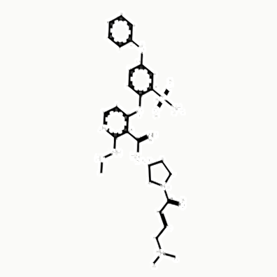 CPNc1nccc(Oc2ccc(Oc3ccccc3)cc2S(N)(=O)=O)c1C(=N)N[C@@H]1CCN(C(=O)/C=C/CN(C)C)C1